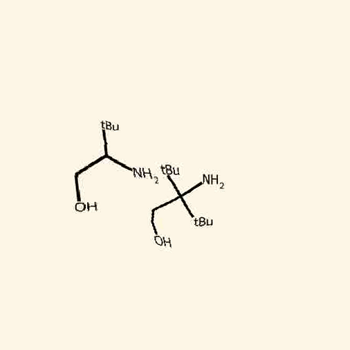 CC(C)(C)C(N)(CO)C(C)(C)C.CC(C)(C)C(N)CO